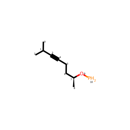 CC(C)C#CCC[C@H](C)OP